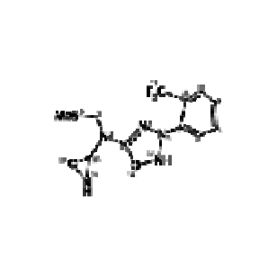 CSCN(C1=NN(c2ccccc2C(F)(F)F)NO1)C1NO1